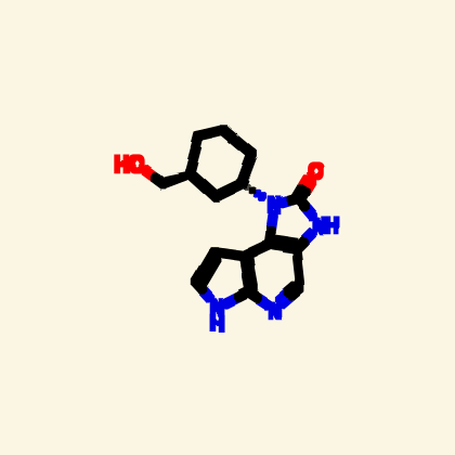 O=c1[nH]c2cnc3[nH]ccc3c2n1[C@H]1CCC[C@H](CO)C1